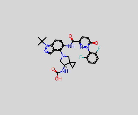 CC(C)(C)n1ncc2c(N3C[C@H](NC(=O)O)C4(CC4)C3)c(NC(=O)c3ccc(=O)n(-c4c(F)cccc4F)n3)ccc21